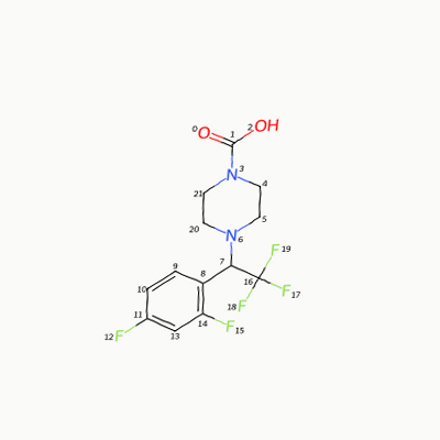 O=C(O)N1CCN(C(c2ccc(F)cc2F)C(F)(F)F)CC1